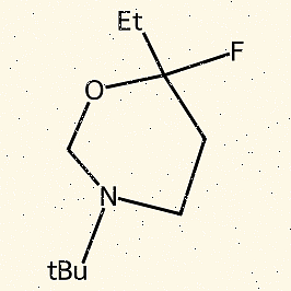 CCC1(F)CCN(C(C)(C)C)CO1